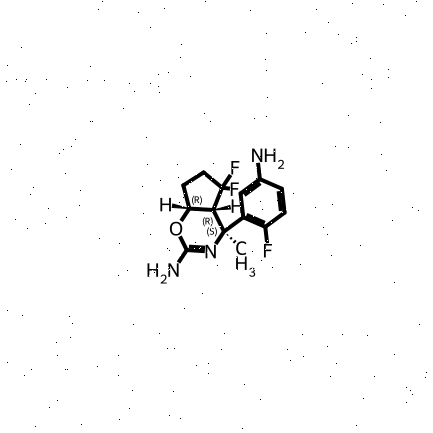 C[C@]1(c2cc(N)ccc2F)N=C(N)O[C@@H]2CCC(F)(F)[C@@H]21